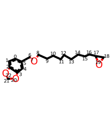 c1cc2c(cc1COCCCCCCCCCC1CO1)OCO2